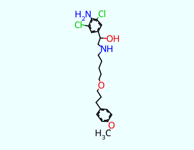 COc1ccc(CCCOCCCCCNCC(O)c2cc(Cl)c(N)c(Cl)c2)cc1